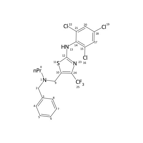 CCCN(Cc1ccccc1)Cc1sc(Nc2c(Cl)cc(Cl)cc2Cl)nc1C(F)(F)F